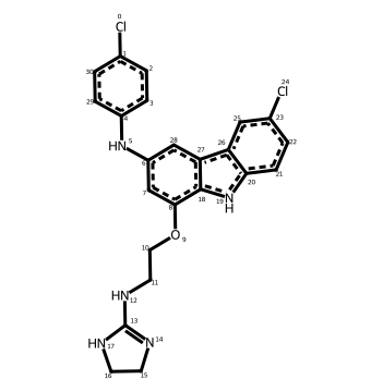 Clc1ccc(Nc2cc(OCCNC3=NCCN3)c3[nH]c4ccc(Cl)cc4c3c2)cc1